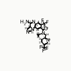 Nc1nc2cc(C(F)(F)F)c(C(=O)N(Cc3ccc(C(F)(F)F)cn3)C3CC3)cc2n2cncc12